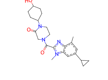 Cc1cc(C2CC2)cc2c1nc(C(=O)N1CCN(C3CCC(O)CC3)C(=O)C1)n2C